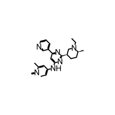 C=N/C(C)=C\C(=C/C)Nc1cc(-c2cccnc2)nc([C@@H]2CC[C@H](C)N(CC)C2)n1